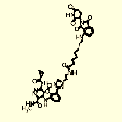 CNC(=O)c1nnc(NC(=O)C2CC2)cc1Nc1cccc(-c2ncn(CCNC(=O)CCCCCCCNc3cccc4c3C(=O)N(C3CCC(=O)NC3=O)C4=O)n2)c1OC